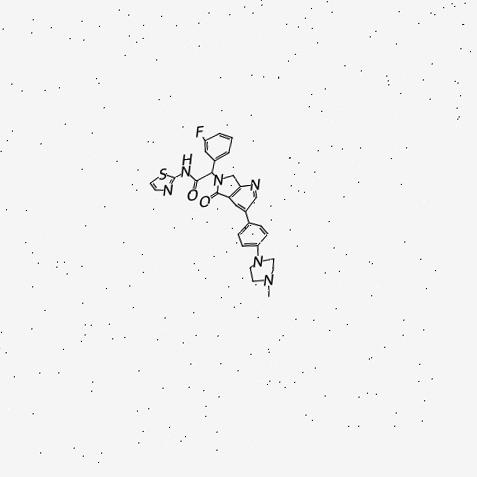 CN1CCN(c2ccc(-c3cnc4c(c3)C(=O)N(C(C(=O)Nc3nccs3)c3cccc(F)c3)C4)cc2)CC1